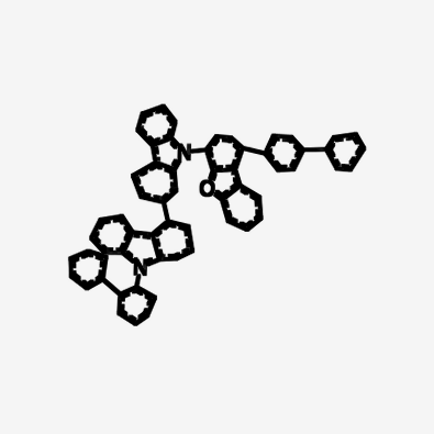 c1ccc(-c2ccc(-c3ccc(-n4c5ccccc5c5ccc(-c6cccc7c6c6ccccc6n7-c6ccccc6-c6ccccc6)cc54)c4oc5ccccc5c34)cc2)cc1